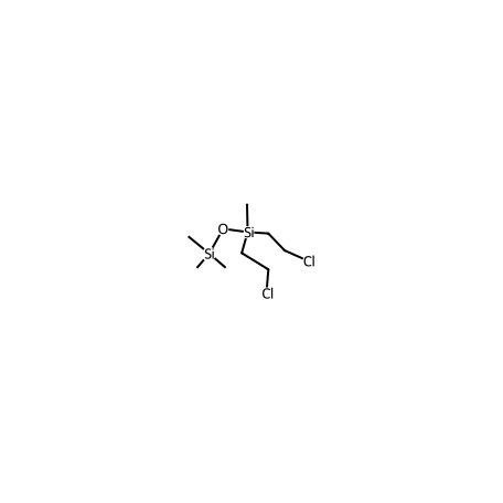 C[Si](C)(C)O[Si](C)(CCCl)CCCl